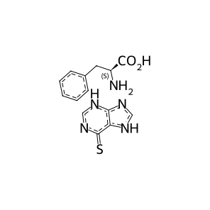 N[C@@H](Cc1ccccc1)C(=O)O.S=c1nc[nH]c2nc[nH]c12